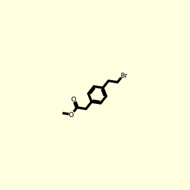 COC(=O)Cc1ccc(CCBr)cc1